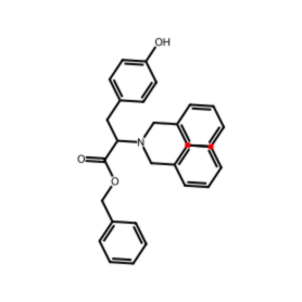 O=C(OCc1ccccc1)C(Cc1ccc(O)cc1)N(Cc1ccccc1)Cc1ccccc1